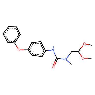 COC(CN(C)C(=O)Nc1ccc(Oc2ccccc2)cc1)OC